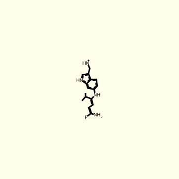 CNCc1c[nH]c2cc(N/C(=C/C=C(\N)F)C(C)C)ccc12